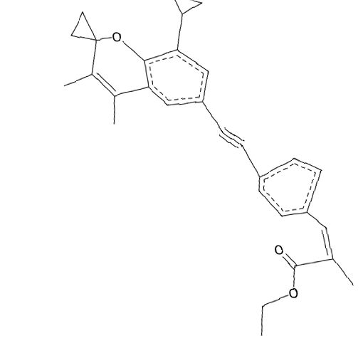 CCOC(=O)C(C)=Cc1ccc(C#Cc2cc3c(c(C4CC4)c2)OC2(CC2)C(C)=C3C)cc1